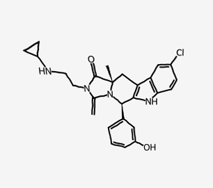 C=C1N(CCNC2CC2)C(=O)[C@]2(C)Cc3c([nH]c4ccc(Cl)cc34)[C@@H](c3cccc(O)c3)N12